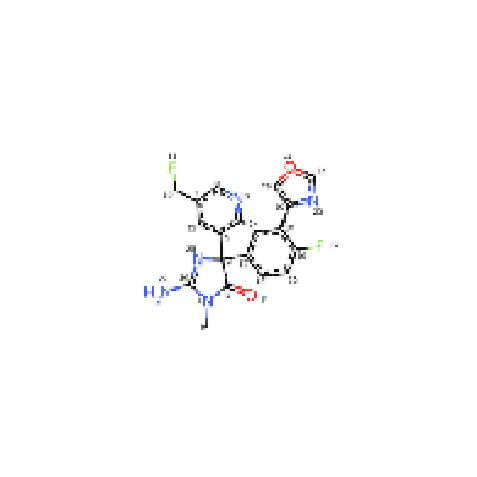 CN1C(=O)C(c2cncc(CF)c2)(c2ccc(F)c(-c3cocn3)c2)N=C1N